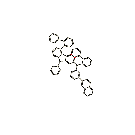 c1ccc(-c2ccccc2-c2cccc3c2c2ccc(N(c4cccc(-c5ccc6ccccc6c5)c4)c4ccccc4-c4ccccc4)cc2n3-c2ccccc2)cc1